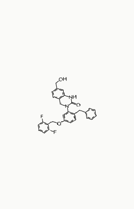 O=C1Nc2cc(CO)ccc2CN1c1cc(OCc2c(F)cccc2F)ccc1Cc1ccccc1